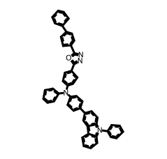 c1ccc(-c2ccc(-c3nnc(-c4ccc(N(c5ccccc5)c5ccc(-c6ccc7c(c6)c6ccccc6n7-c6ccccc6)cc5)cc4)o3)cc2)cc1